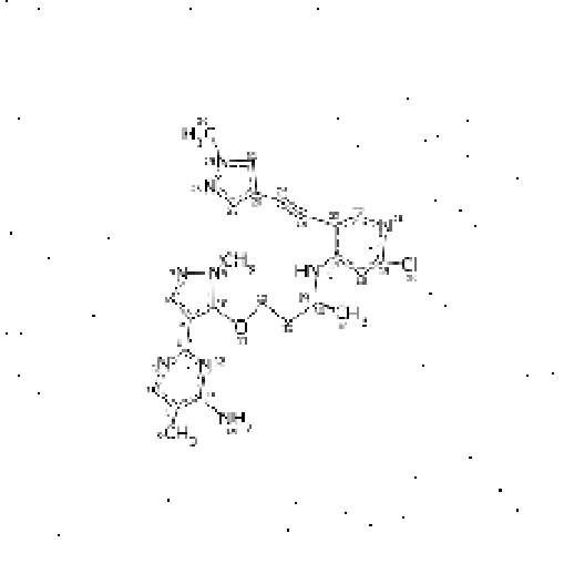 Cc1cnc(-c2cnn(C)c2OCC[C@H](C)Nc2cc(Cl)ncc2C#Cc2cnn(C)c2)nc1N